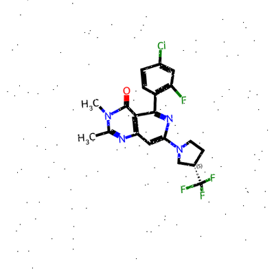 Cc1nc2cc(N3CC[C@H](C(F)(F)F)C3)nc(-c3ccc(Cl)cc3F)c2c(=O)n1C